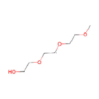 COCCO[CH]COCCO